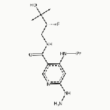 CC(C)Nc1cc(NN)ncc1C(=O)NC[C@@H](F)C(C)(C)O